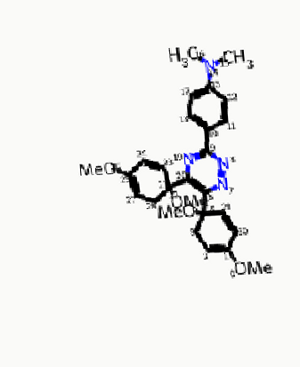 COC1=CCC(OC)(c2nnc(-c3ccc(N(C)C)cc3)nc2C2(OC)C=CC(OC)=CC2)C=C1